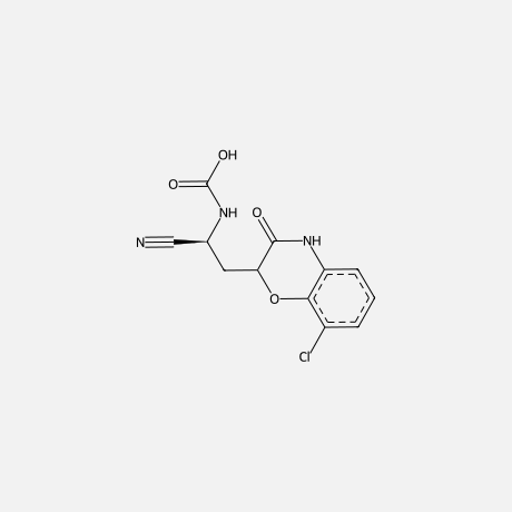 N#C[C@H](CC1Oc2c(Cl)cccc2NC1=O)NC(=O)O